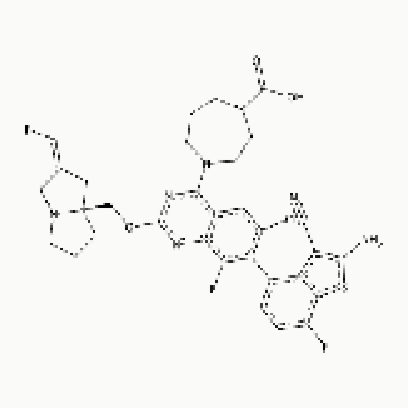 N#Cc1c(N)sc2c(F)ccc(-c3c(Cl)cc4c(N5CCCC(C(=O)O)CC5)nc(OC[C@@]56CCCN5C/C(=C\F)C6)nc4c3F)c12